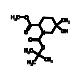 COC(=O)C1CCC(C)(O)CN1C(=O)OC(C)(C)C